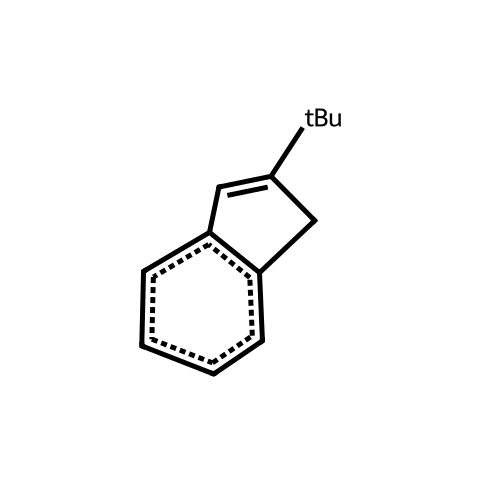 CC(C)(C)C1=Cc2ccccc2C1